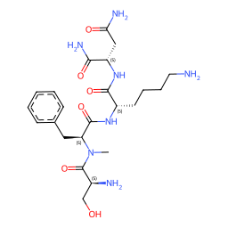 CN(C(=O)[C@@H](N)CO)[C@@H](Cc1ccccc1)C(=O)N[C@@H](CCCCN)C(=O)N[C@@H](CC(N)=O)C(N)=O